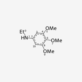 CCNc1cc(OC)c(OC)c(OC)c1